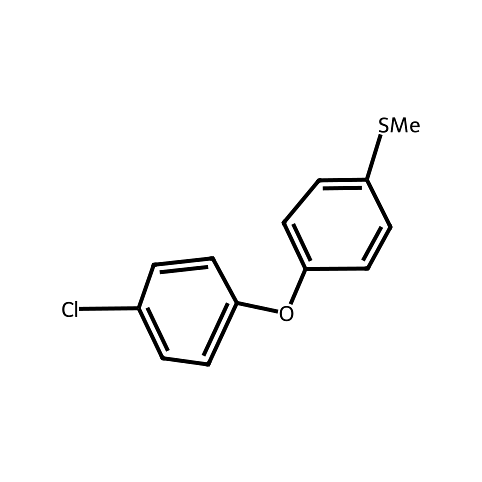 CSc1ccc(Oc2ccc(Cl)cc2)cc1